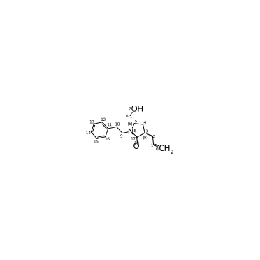 C=CC[C@@H]1C[C@@H](CO)N(CCc2ccccc2)C1=O